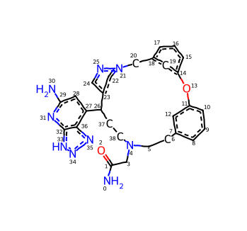 NC(=O)CN1CCc2cccc(c2)Oc2cccc(c2)Cn2cc(cn2)C(c2cc(N)nc3[nH]nnc23)CC1